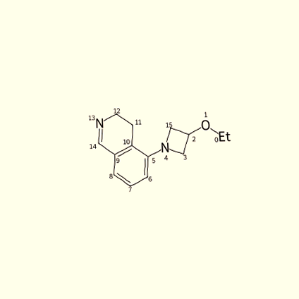 CCOC1CN(c2cccc3c2CCN=C3)C1